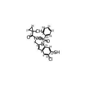 CC1(C(=O)NCc2cc3cc(Cl)c(S)cc3n2S(=O)(=O)c2ccccc2)CC1